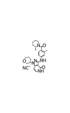 Cc1cc(Nc2nn([C@]3(CC#N)CCCOC3)c3cc[nH]c(=O)c23)ccc1C(=O)N1CCCC[C@@H]1C